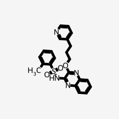 Cc1ccccc1S(=O)(=O)Nc1nc2ccccc2nc1OCCCc1cccnc1